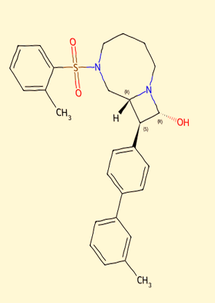 Cc1cccc(-c2ccc([C@@H]3[C@@H](O)N4CCCCN(S(=O)(=O)c5ccccc5C)C[C@@H]34)cc2)c1